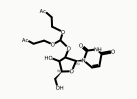 CC(=O)CCOC(OCCC(C)=O)OC1C(O)[C@H](CO)O[C@@H]1n1ccc(=O)[nH]c1=O